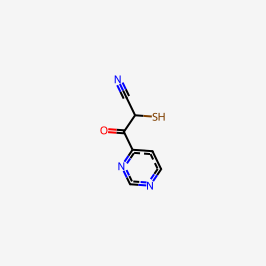 N#CC(S)C(=O)c1ccncn1